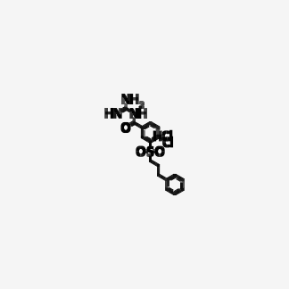 Cl.N=C(N)NC(=O)c1ccc(Cl)c(S(=O)(=O)CCCc2ccccc2)c1